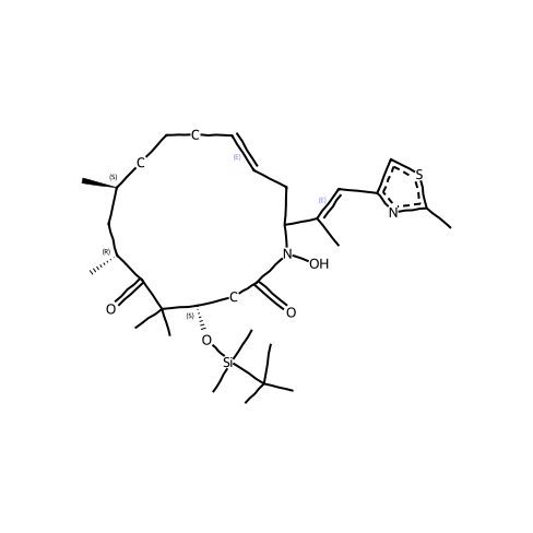 C/C(=C\c1csc(C)n1)C1C/C=C/CCC[C@H](C)C[C@@H](C)C(=O)C(C)(C)[C@@H](O[Si](C)(C)C(C)(C)C)CC(=O)N1O